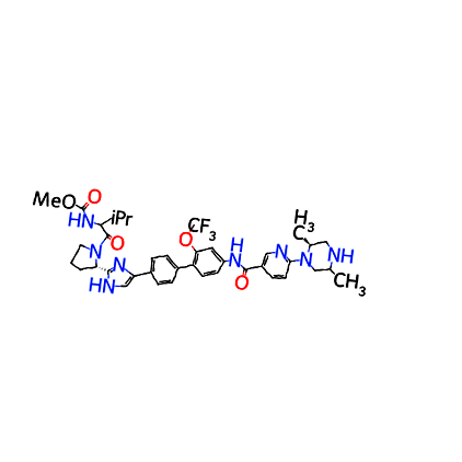 COC(=O)NC(C(=O)N1CCC[C@H]1c1nc(-c2ccc(-c3ccc(NC(=O)c4ccc(N5CC(C)NC[C@@H]5C)nc4)cc3OC(F)(F)F)cc2)c[nH]1)C(C)C